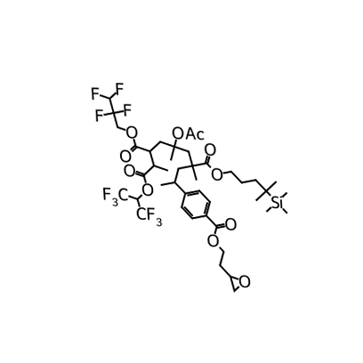 CC(=O)OC(C)(CC(C(=O)OCC(F)(F)C(F)F)C(C)C(=O)OC(C(F)(F)F)C(F)(F)F)CC(C)(CC(C)c1ccc(C(=O)OCCC2CO2)cc1)C(=O)OCCCC(C)(C)[Si](C)(C)C